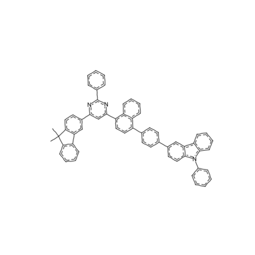 CC1(C)c2ccccc2-c2cc(-c3cc(-c4ccc(-c5ccc(-c6ccc7c(c6)c6ccccc6n7-c6ccccc6)cc5)c5ccccc45)nc(-c4ccccc4)n3)ccc21